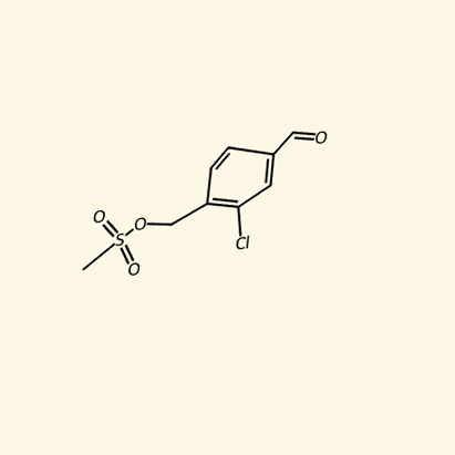 CS(=O)(=O)OCc1ccc(C=O)cc1Cl